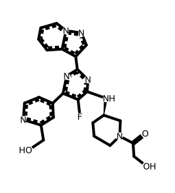 O=C(CO)N1CCC[C@@H](Nc2nc(-c3cnn4ccccc34)nc(-c3ccnc(CO)c3)c2F)C1